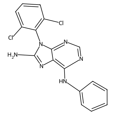 Nc1nc2c(Nc3ccccc3)ncnc2n1-c1c(Cl)cccc1Cl